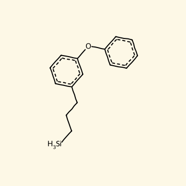 [SiH3]CCCc1cccc(Oc2ccccc2)c1